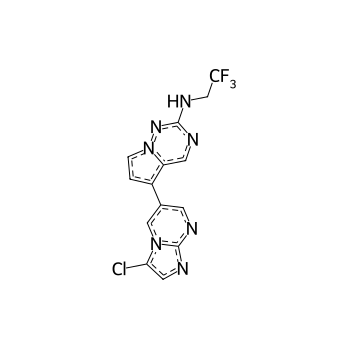 FC(F)(F)CNc1ncc2c(-c3cnc4ncc(Cl)n4c3)ccn2n1